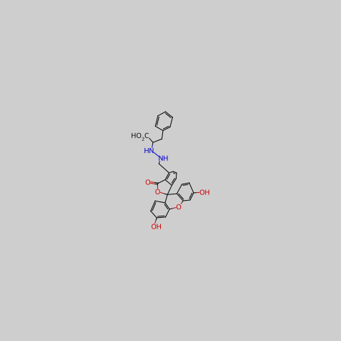 O=C1OC2(c3ccc(O)cc3Oc3cc(O)ccc32)c2cccc(CNNC(Cc3ccccc3)C(=O)O)c21